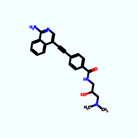 CN(C)CC(O)CNC(=O)c1ccc(C#Cc2cnc(N)c3ccccc23)cc1